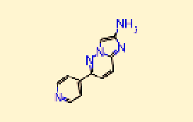 Nc1cn2nc(-c3ccncc3)ccc2n1